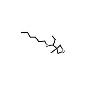 CCCCCCOC(CC)C1(C)COC1